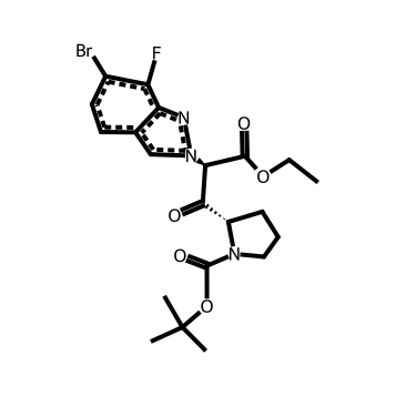 CCOC(=O)[C@@H](C(=O)[C@@H]1CCCN1C(=O)OC(C)(C)C)n1cc2ccc(Br)c(F)c2n1